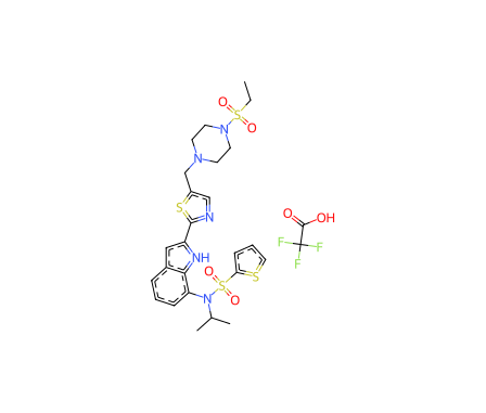 CCS(=O)(=O)N1CCN(Cc2cnc(-c3cc4cccc(N(C(C)C)S(=O)(=O)c5cccs5)c4[nH]3)s2)CC1.O=C(O)C(F)(F)F